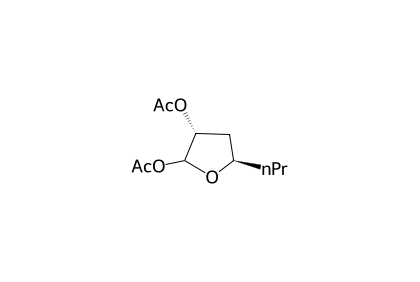 CCC[C@@H]1C[C@@H](OC(C)=O)C(OC(C)=O)O1